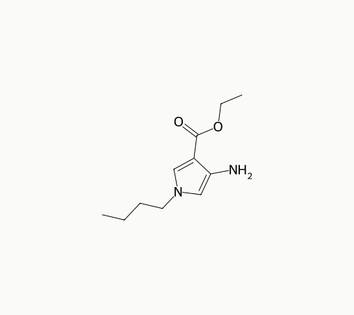 CCCCn1cc(N)c(C(=O)OCC)c1